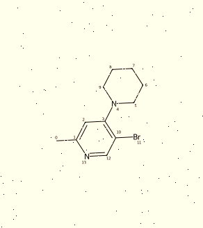 Cc1cc(N2CCCCC2)c(Br)cn1